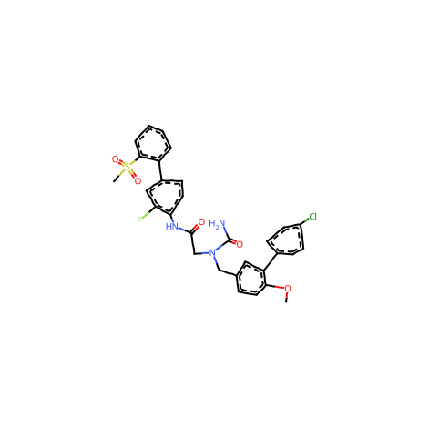 COc1ccc(CN(CC(=O)Nc2ccc(-c3ccccc3S(C)(=O)=O)cc2F)C(N)=O)cc1-c1ccc(Cl)cc1